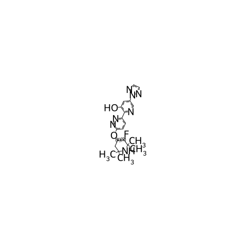 CC1(C)C[C@@H](Oc2ccc(-c3ncc(-n4nccn4)cc3O)nn2)[C@@H](F)C(C)(C)N1